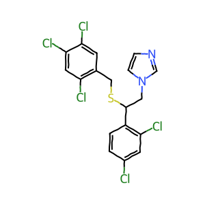 Clc1ccc(C(Cn2ccnc2)SCc2cc(Cl)c(Cl)cc2Cl)c(Cl)c1